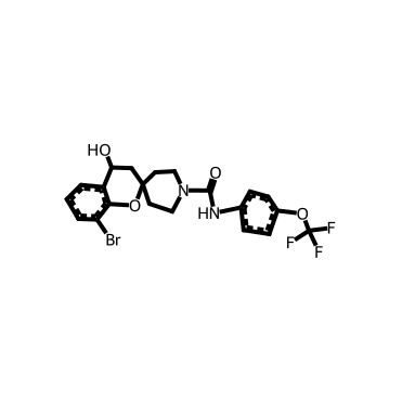 O=C(Nc1ccc(OC(F)(F)F)cc1)N1CCC2(CC1)CC(O)c1cccc(Br)c1O2